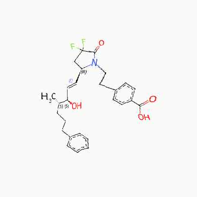 C[C@@H](CCCc1ccccc1)[C@H](O)/C=C/[C@H]1CC(F)(F)C(=O)N1CCc1ccc(C(=O)O)cc1